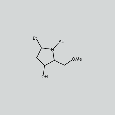 CCC1CC(O)C(COC)N1C(C)=O